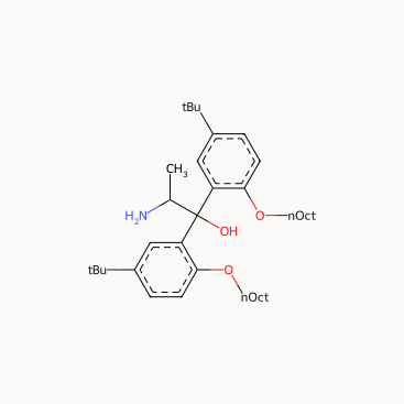 CCCCCCCCOc1ccc(C(C)(C)C)cc1C(O)(c1cc(C(C)(C)C)ccc1OCCCCCCCC)C(C)N